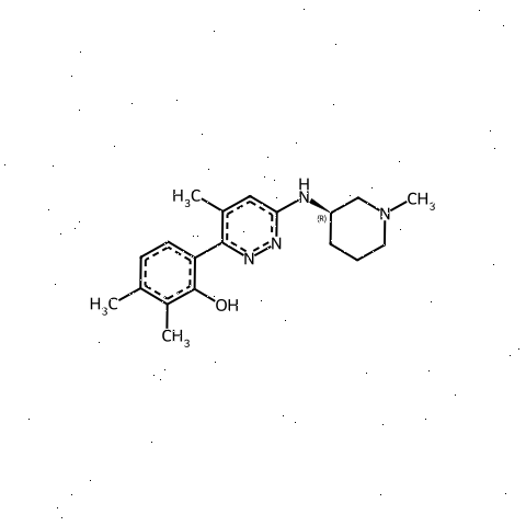 Cc1cc(N[C@@H]2CCCN(C)C2)nnc1-c1ccc(C)c(C)c1O